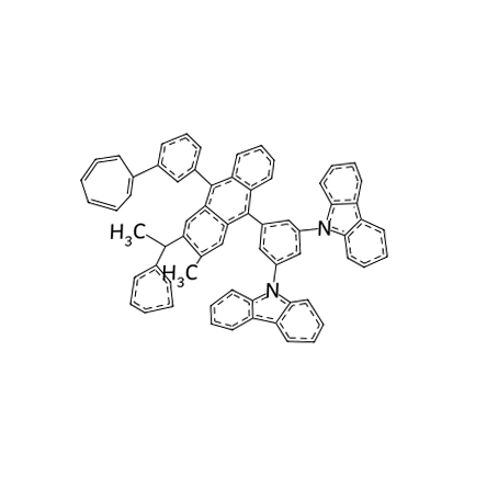 Cc1cc2c(-c3cc(-n4c5ccccc5c5ccccc54)cc(-n4c5ccccc5c5ccccc54)c3)c3ccccc3c(-c3cccc(C4=CC=CC=C=C4)c3)c2cc1C(C)c1ccccc1